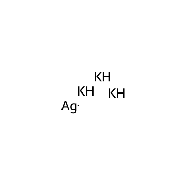 [Ag].[KH].[KH].[KH]